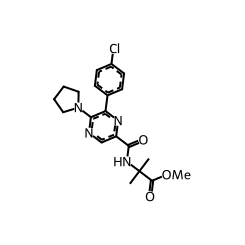 COC(=O)C(C)(C)NC(=O)c1cnc(N2CCCC2)c(-c2ccc(Cl)cc2)n1